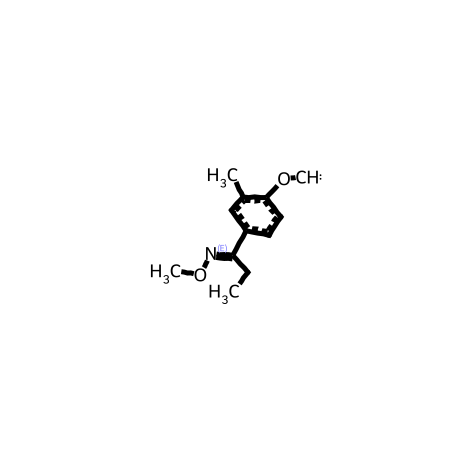 [CH]Oc1ccc(/C(CC)=N/OC)cc1C